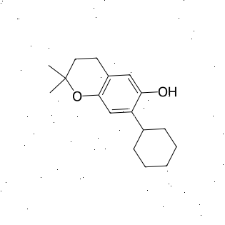 CC1(C)CCc2cc(O)c(C3CCCCC3)cc2O1